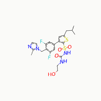 Cc1nccn1Cc1c(F)cc(-c2cc(CC(C)C)sc2S(=O)(=O)NC(=O)NCCO)cc1F